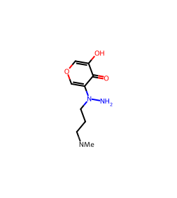 CNCCCN(N)c1cocc(O)c1=O